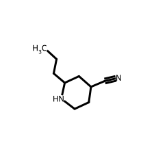 CCCC1CC(C#N)CCN1